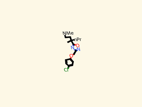 CCCC(C)(CCNC)c1nc(COc2ccc(Cl)cc2)no1